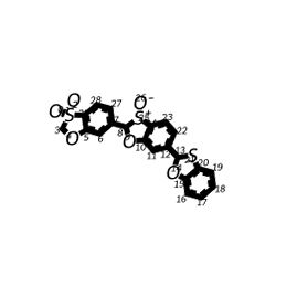 O=S1(=O)COc2cc(C3Oc4cc(C5Oc6ccccc6S5)ccc4[S+]3[O-])ccc21